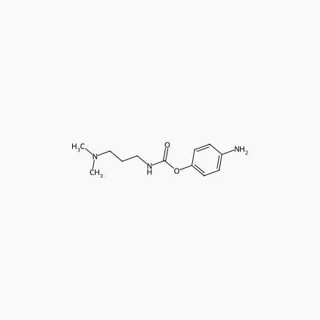 CN(C)CCCNC(=O)Oc1ccc(N)cc1